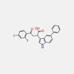 O=C(CC(C(=O)O)c1c[nH]c2ccc(-c3ccccc3)cc12)c1ccc(F)cc1F